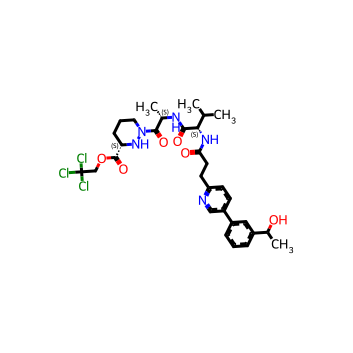 CC(O)c1cccc(-c2ccc(CCC(=O)N[C@H](C(=O)N[C@@H](C)C(=O)N3CCC[C@@H](C(=O)OCC(Cl)(Cl)Cl)N3)C(C)C)nc2)c1